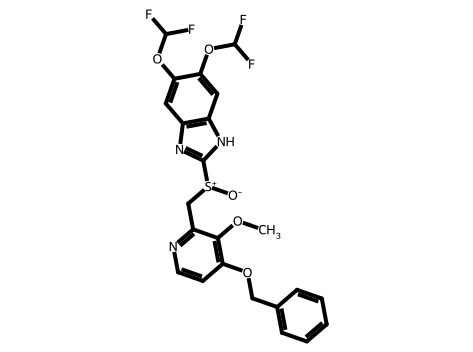 COc1c(OCc2ccccc2)ccnc1C[S+]([O-])c1nc2cc(OC(F)F)c(OC(F)F)cc2[nH]1